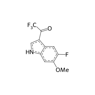 COc1cc2[nH]cc(C(=O)C(F)(F)F)c2cc1F